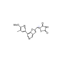 COc1ncc(-c2cncc3cc(/C=C4\SC(=O)NC4=O)oc23)cc1C